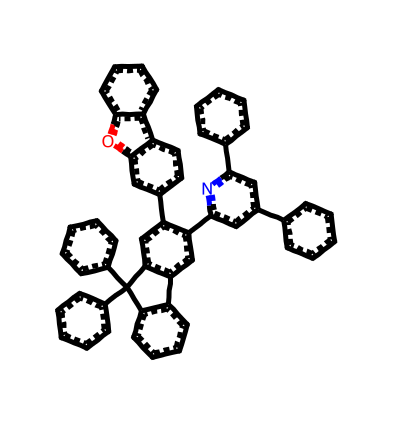 c1ccc(-c2cc(-c3ccccc3)nc(-c3cc4c(cc3-c3ccc5c(c3)oc3ccccc35)C(c3ccccc3)(c3ccccc3)c3ccccc3-4)c2)cc1